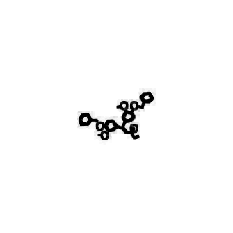 C=CC(=O)C=C(c1ccc(OCc2ccccc2)c(OC)c1)c1ccc(OCc2ccccc2)c(OC)c1